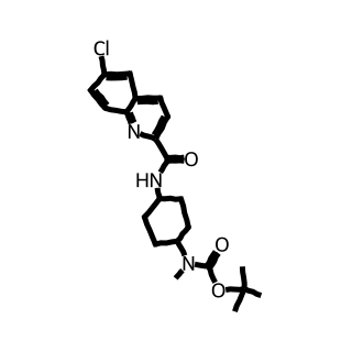 CN(C(=O)OC(C)(C)C)C1CCC(NC(=O)c2ccc3cc(Cl)ccc3n2)CC1